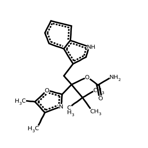 Cc1nc(C(Cc2c[nH]c3ccccc23)(OC(N)=O)C(C)(C)C)oc1C